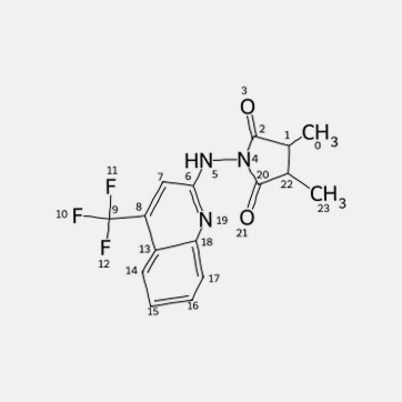 CC1C(=O)N(Nc2cc(C(F)(F)F)c3ccccc3n2)C(=O)C1C